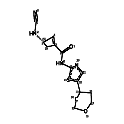 N#CN[C@@H]1C=C(C(=O)Nc2ncc(C3CCOCC3)s2)C1